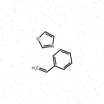 C=Cc1ccccc1.c1cocn1